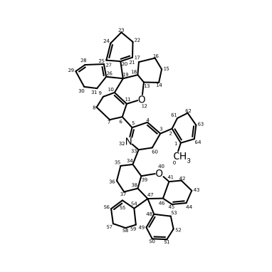 CC1=C(C2=CC(C3CCCC4=C3OC3CCCCC3C4(C3=CCCC=C3)C3=CC=CCC3)=NC(C3CCCC4C3OC3CCC=CC3C4(C3=CC=CCC3)C3C=CCCC3)C2)CCC=C1